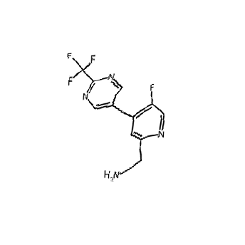 NCc1cc(-c2cnc(C(F)(F)F)nc2)c(F)cn1